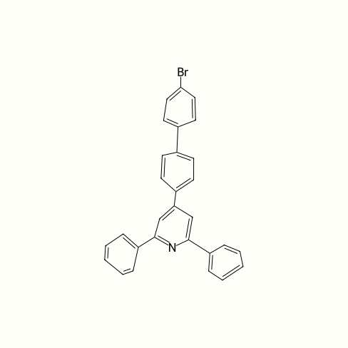 Brc1ccc(-c2ccc(-c3cc(-c4ccccc4)nc(-c4ccccc4)c3)cc2)cc1